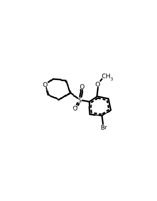 COc1ccc(Br)cc1S(=O)(=O)C1CCOCC1